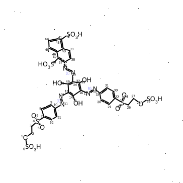 O=S(=O)(O)OCCS(=O)(=O)c1ccc(/N=N/c2c(O)c(/N=N/c3ccc(S(=O)(=O)CCOS(=O)(=O)O)cc3)c(O)c(/N=N/c3ccc4c(S(=O)(=O)O)cccc4c3S(=O)(=O)O)c2O)cc1